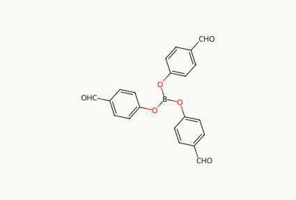 O=Cc1ccc(OB(Oc2ccc(C=O)cc2)Oc2ccc(C=O)cc2)cc1